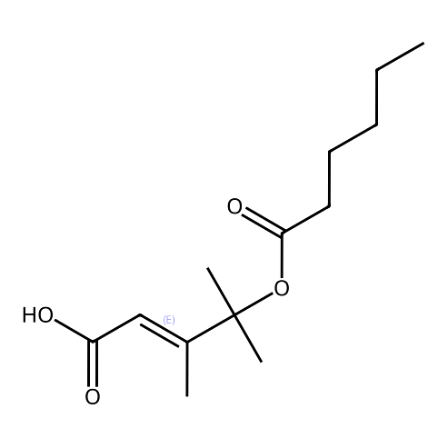 CCCCCC(=O)OC(C)(C)/C(C)=C/C(=O)O